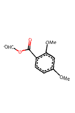 COc1ccc(C(=O)O[C]=O)c(OC)c1